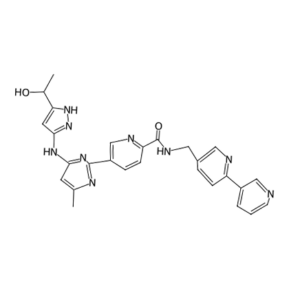 Cc1cc(Nc2cc(C(C)O)[nH]n2)nc(-c2ccc(C(=O)NCc3ccc(-c4cccnc4)nc3)nc2)n1